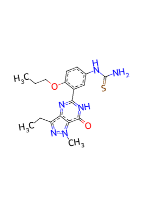 CCCOc1ccc(NC(N)=S)cc1-c1nc2c(CC)nn(C)c2c(=O)[nH]1